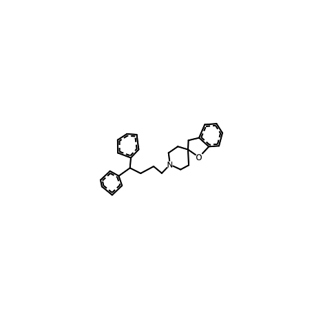 c1ccc(C(CCCN2CCC3(CC2)Cc2ccccc2O3)c2ccccc2)cc1